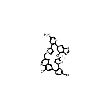 Nc1cnc(-c2cc(Cl)c3ncsc3c2)c(-c2ccn(Cc3cnc4c(Cl)cc(-c5ncc(N)nc5-n5ccc(C(F)(F)F)n5)cc4c3)n2)n1